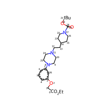 CCOC(=O)COc1cccc(N2CCN(CCC3CCN(C(=O)OC(C)(C)C)CC3)CC2)c1